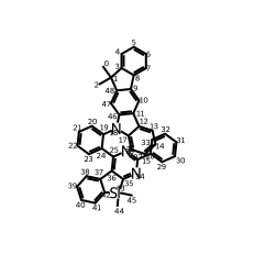 CC1(C)c2ccccc2-c2cc3c4ccccc4n(-c4ccccc4-c4nc(-c5ccccc5)nc5c4-c4ccccc4[Si]5(C)C)c3cc21